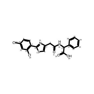 O=C(Cc1csc(-c2ccc(Cl)cc2Cl)n1)NC(C(=O)O)c1ccccc1